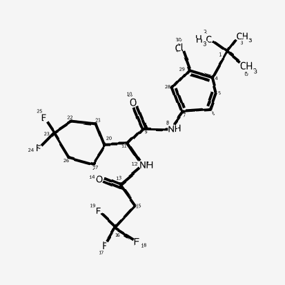 CC(C)(C)c1ccc(NC(=O)C(NC(=O)CC(F)(F)F)C2CCC(F)(F)CC2)cc1Cl